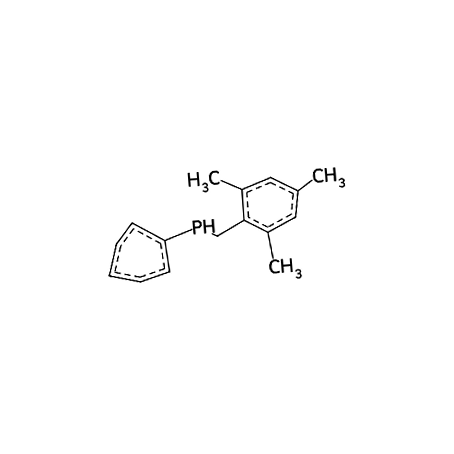 Cc1cc(C)c(CPc2ccccc2)c(C)c1